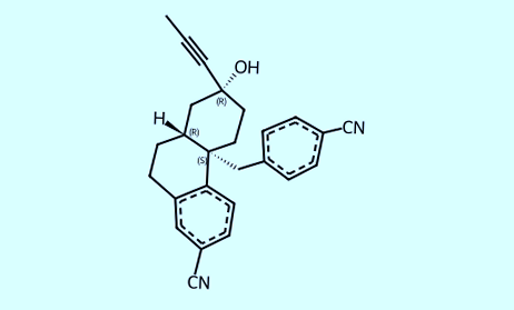 CC#C[C@@]1(O)CC[C@@]2(Cc3ccc(C#N)cc3)c3ccc(C#N)cc3CC[C@@H]2C1